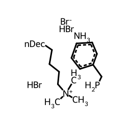 Br.Br.CCCCCCCCCCCCCC[N+](C)(C)C.N.PCc1ccccc1.[Br-]